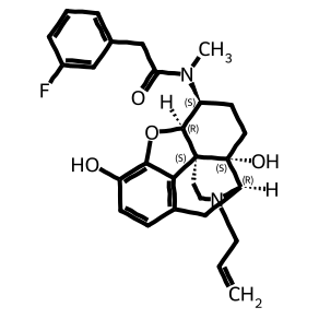 C=CCN1CC[C@]23c4c5ccc(O)c4O[C@H]2[C@@H](N(C)C(=O)Cc2cccc(F)c2)CC[C@@]3(O)[C@H]1C5